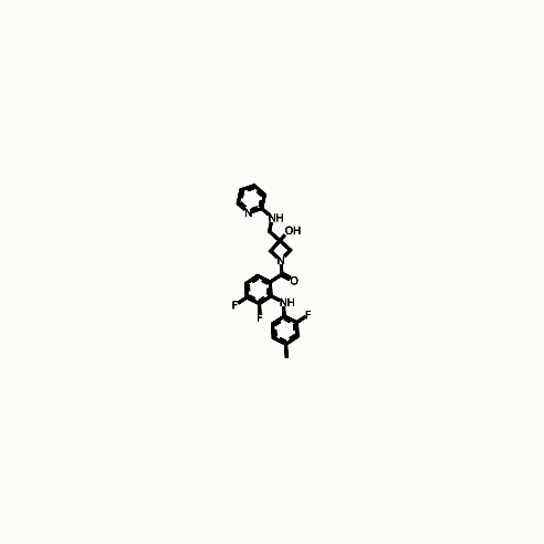 Cc1ccc(Nc2c(C(=O)N3CC(O)(CNc4ccccn4)C3)ccc(F)c2F)c(F)c1